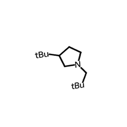 CC(C)(C)CN1CCC(C(C)(C)C)C1